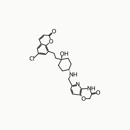 O=C1COc2ccc(CN[C@H]3CC[C@@](O)(CCc4cc(Cl)cc5ccc(=O)oc45)CC3)nc2N1